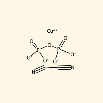 N#CC#N.O=P([O-])([O-])OP(=O)([O-])[O-].[Cu+4]